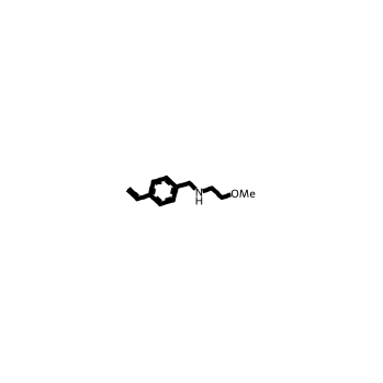 C=Cc1ccc(CNCCOC)cc1